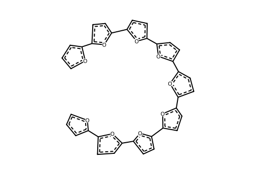 c1coc(-c2ccc(-c3ccc(-c4ccc(-c5ccc(-c6ccc(-c7ccc(-c8ccc(-c9ccco9)o8)o7)o6)o5)o4)o3)o2)c1